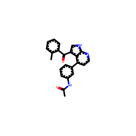 CC(=O)Nc1cccc(-c2ccnc3[nH]cc(C(=O)c4ccccc4C)c23)c1